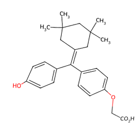 CC1(C)CC(=C(c2ccc(O)cc2)c2ccc(OCC(=O)O)cc2)CC(C)(C)C1